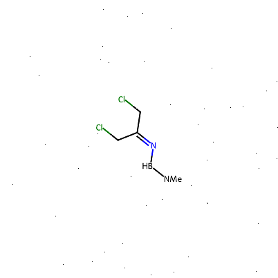 CNBN=C(CCl)CCl